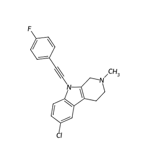 CN1CCc2c(n(C#Cc3ccc(F)cc3)c3ccc(Cl)cc23)C1